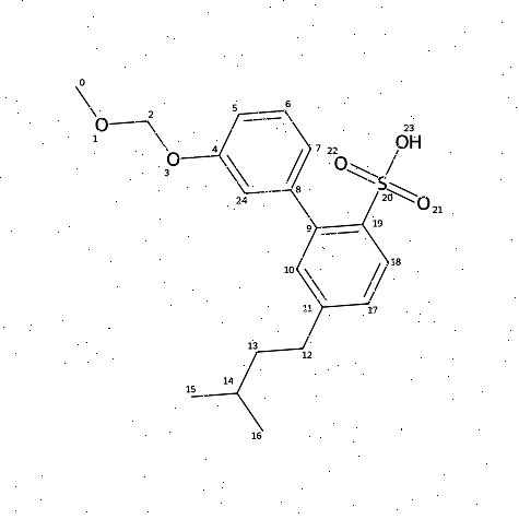 COCOc1cccc(-c2cc(CCC(C)C)ccc2S(=O)(=O)O)c1